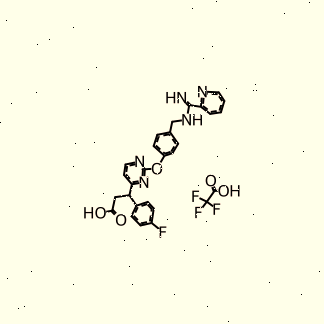 N=C(NCc1ccc(Oc2nccc(C(CC(=O)O)c3ccc(F)cc3)n2)cc1)c1ccccn1.O=C(O)C(F)(F)F